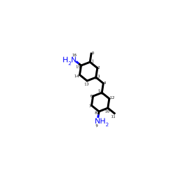 CC1C[C](C[C]2CCC(N)C(C)C2)CCC1N